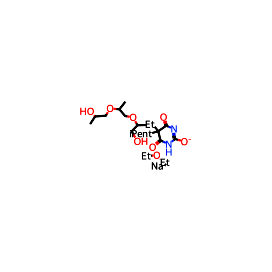 CC(O)COC(C)COC(C)CO.CCCC(C)C1(CC)C(=O)N=C([O-])NC1=O.CCOCC.[Na+]